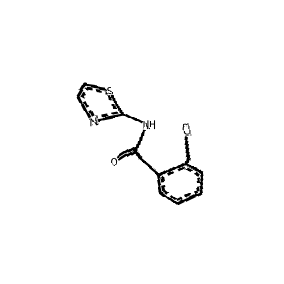 O=C(Nc1nccs1)c1ccccc1Cl